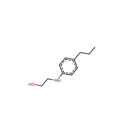 CCCc1ccc(NCCO)cc1